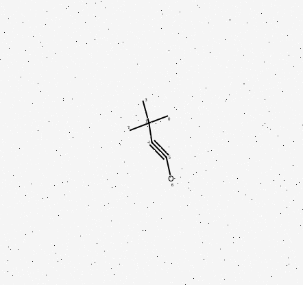 CC(C)(C)C#C[O]